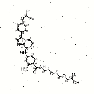 Cc1cc(Nc2nccn3c(-c4ccc(OC(F)F)cc4)cnc23)ccc1C(=O)NCCOCCOCC(=O)O